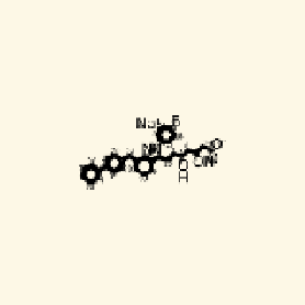 O=C([O-])CC(O)CC(O)/C=C/c1c2c(nn1-c1ccc(F)cc1)C(Cc1ccc(-c3ccccc3)cc1)CCC2.[Na+]